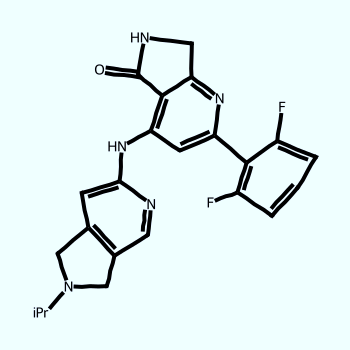 CC(C)N1Cc2cnc(Nc3cc(-c4c(F)cccc4F)nc4c3C(=O)NC4)cc2C1